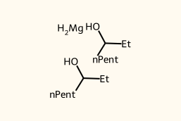 CCCCCC(O)CC.CCCCCC(O)CC.[MgH2]